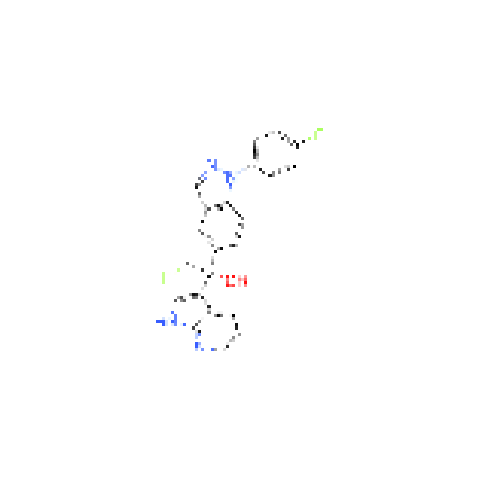 OC(CF)(c1ccc2c(cnn2-c2ccc(F)cc2)c1)c1c[nH]c2ncccc12